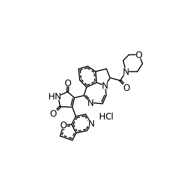 Cl.O=C1NC(=O)C(c2cncc3ccoc23)=C1C1=NC=CN2c3c(cccc31)CC2C(=O)N1CCOCC1